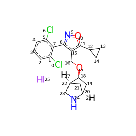 Clc1cccc(Cl)c1-c1noc(C2CC2)c1CO[C@H]1C[C@@H]2C[C@H]1CN2.I